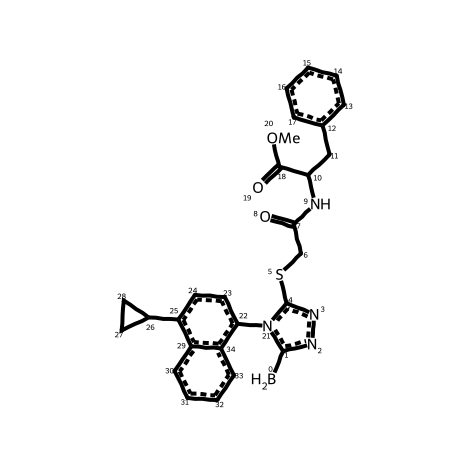 Bc1nnc(SCC(=O)NC(Cc2ccccc2)C(=O)OC)n1-c1ccc(C2CC2)c2ccccc12